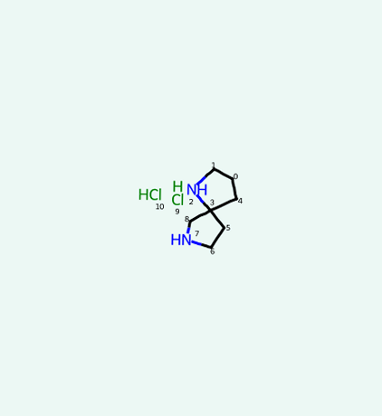 C1CNC2(C1)CCNC2.Cl.Cl